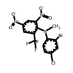 CN(c1ccc(Cl)cc1Br)c1c([N+](=O)[O-])cc([N+](=O)[O-])cc1C(F)(F)F